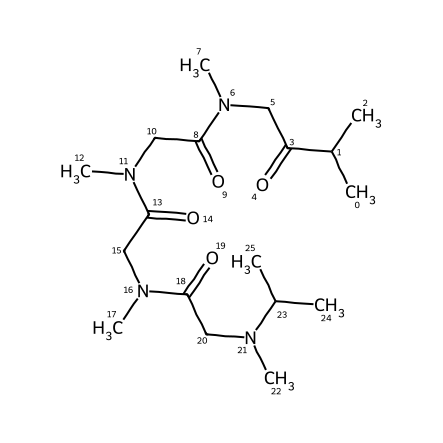 CC(C)C(=O)CN(C)C(=O)CN(C)C(=O)CN(C)C(=O)CN(C)C(C)C